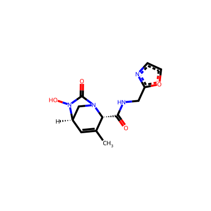 CC1=C[C@@H]2CN(C(=O)N2O)[C@@H]1C(=O)NCc1ncco1